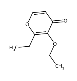 CCOc1c(CC)occc1=O